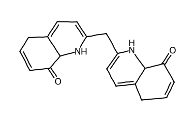 O=C1C=CCC2=CC=C(CC3=CC=C4CC=CC(=O)C4N3)NC12